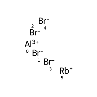 [Al+3].[Br-].[Br-].[Br-].[Br-].[Rb+]